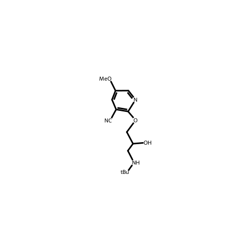 COc1cnc(OCC(O)CNC(C)(C)C)c(C#N)c1